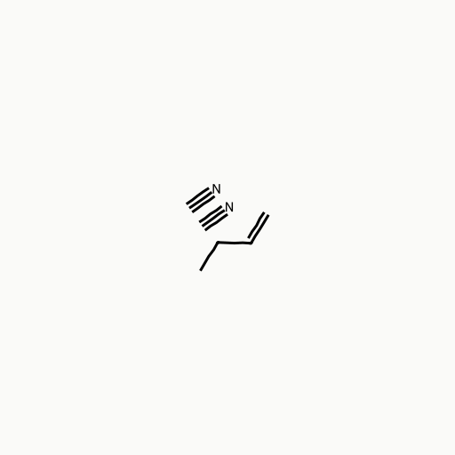 C#N.C#N.C=CCC